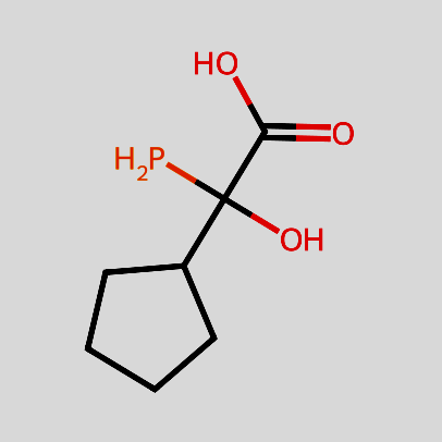 O=C(O)C(O)(P)C1CCCC1